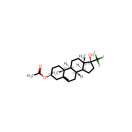 CC(=O)O[C@H]1CC[C@@]2(C)C(=CC[C@@H]3[C@@H]2CC[C@@]2(C)[C@H]3CC[C@@]2(O)C(F)(F)F)C1